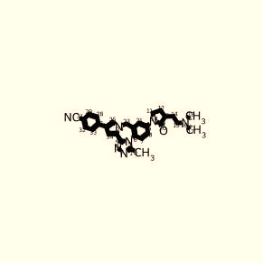 Cc1nnc2n1-c1ccc(N3CCC(CCN(C)C)C3=O)cc1Cn1cc(-c3ccc(C#N)cc3)cc1-2